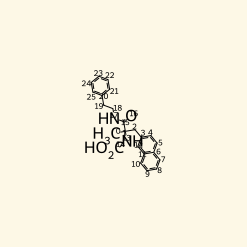 CC(Cc1ccc2ccccc2c1)(NC(=O)O)C(=O)NCCc1ccccc1